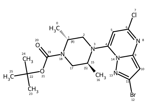 C[C@@H]1CN(c2cc(Cl)nc3cc(Br)nn23)[C@@H](C)CN1C(=O)OC(C)(C)C